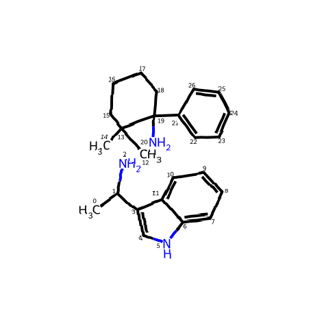 CC(N)c1c[nH]c2ccccc12.CC1(C)CCCCC1(N)c1ccccc1